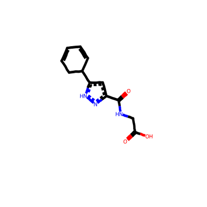 O=C(O)CNC(=O)c1cc(C2C=CC=CC2)[nH]n1